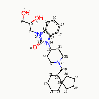 O=c1n(C[C@H](O)CO)c2ccccc2n1C1CCN(C[C@@H]2CCCCC23CCCC3)CC1